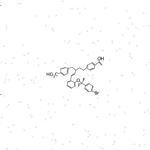 C=C(O)c1ccc(CCC(/C=C/c2ccccc2OC(F)(F)c2ccc(Br)cc2)Cc2ccc(C(=O)O)cc2)cc1